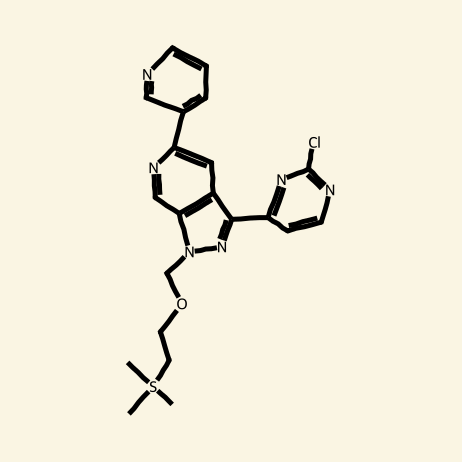 CS(C)(C)CCOCn1nc(-c2ccnc(Cl)n2)c2cc(-c3cccnc3)ncc21